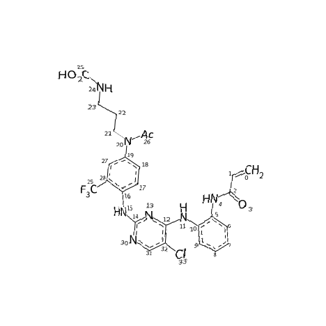 C=CC(=O)Nc1ccccc1Nc1nc(Nc2ccc(N(CCCNC(=O)O)C(C)=O)cc2C(F)(F)F)ncc1Cl